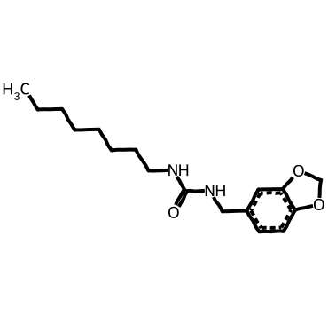 CCCCCCCCNC(=O)NCc1ccc2c(c1)OCO2